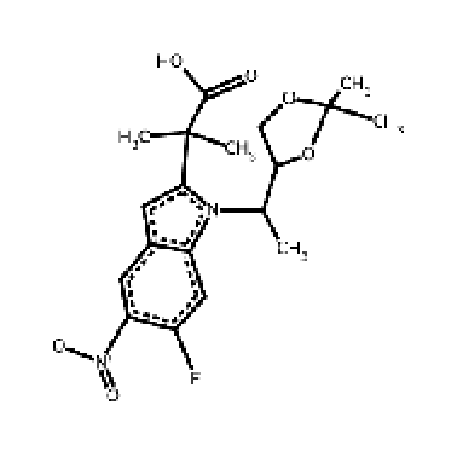 CC(C1COC(C)(C)O1)n1c(C(C)(C)C(=O)O)cc2cc([N+](=O)[O-])c(F)cc21